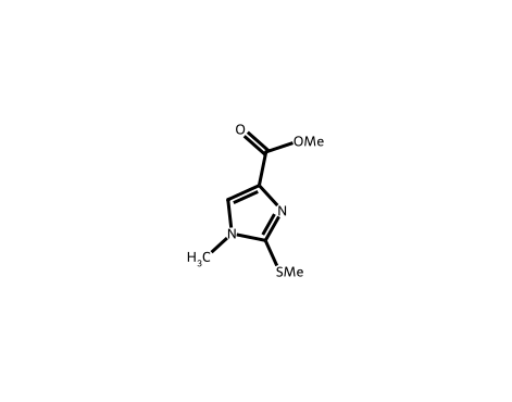 COC(=O)c1cn(C)c(SC)n1